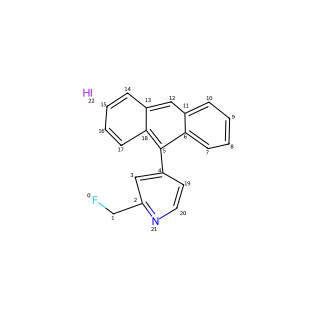 FCc1cc(-c2c3ccccc3cc3ccccc23)ccn1.I